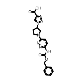 O=C(Nc1ccc(N2CCC(n3cc(C(=O)O)nn3)C2)nn1)OCc1ccccc1